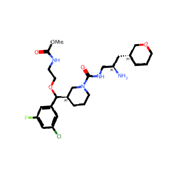 COC(=O)NCCOC(c1cc(F)cc(Cl)c1)[C@@H]1CCCN(C(=O)NC[C@H](N)C[C@H]2CCCOC2)C1